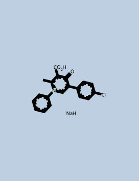 Cc1c(C(=O)O)c(=O)c(-c2ccc(Cl)cc2)cn1-c1ccccc1.[NaH]